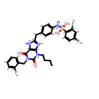 CCCCn1c(=O)n(Cc2ccccc2F)c(=O)c2[nH]c(Cc3ccc(NS(=O)(=O)c4ccc(F)cc4F)cc3)nc21